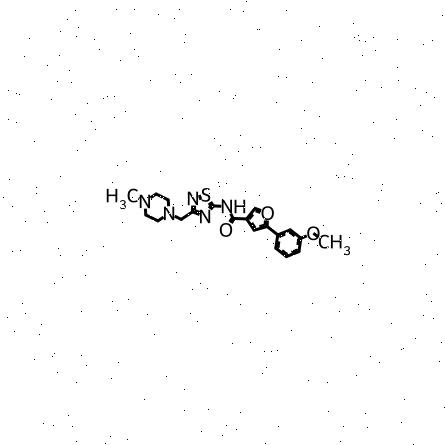 COc1cccc(-c2cc(C(=O)Nc3nc(CN4CCN(C)CC4)ns3)co2)c1